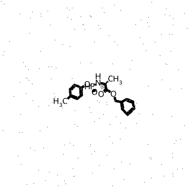 Cc1ccc(O[PH](=O)N[C@@H](C)C(=O)OCc2ccccc2)cc1